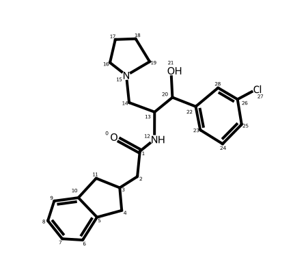 O=C(CC1Cc2ccccc2C1)NC(CN1CCCC1)C(O)c1cccc(Cl)c1